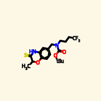 CC1Oc2ccc(CN(CCCC(F)(F)F)C(=O)OC(C)(C)C)cc2NC1=S